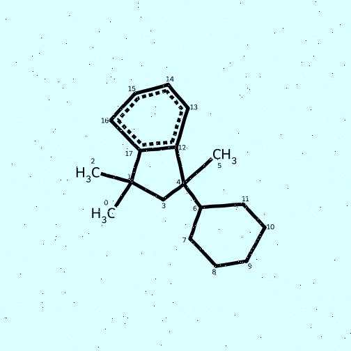 CC1(C)CC(C)(C2CCCCC2)c2ccccc21